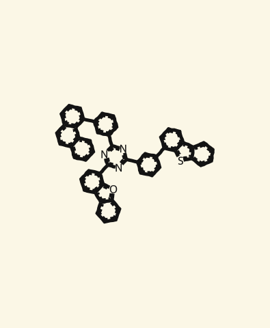 c1cc(-c2nc(-c3cccc(-c4cccc5ccc6ccccc6c45)c3)nc(-c3cccc4c3oc3ccccc34)n2)cc(-c2cccc3c2sc2ccccc23)c1